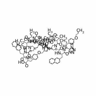 C=CCOc1ccc(C[C@H](NC(=O)C(Cc2ccc3ccccc3c2)NC(=O)[C@@H]2C[C@@H](n3cc(COc4ccc(CC(NC(=O)C(Cc5ccc6ccccc6c5)NC(=O)[C@@H]5C[C@H](CC=C)CN5C(=O)C(NC(=O)C(C)N(C)C(=O)OC(C)(C)C)C(C)(C)C)C(=O)O)cc4)nn3)CN2C(=O)C(NC(=O)C(C)N(C)C(=O)OC(C)(C)C)C(C)(C)C)c2nnn[nH]2)cc1